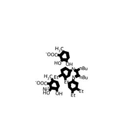 CCCCC(=Nc1ccc(CC)c(CC)c1)C(CCCC)=Nc1ccc(CC)c(CC)c1.Cc1ccc(O)c(O)c1C(=O)[O-].Cc1ccc(O)c(O)c1C(=O)[O-].[Ni+2]